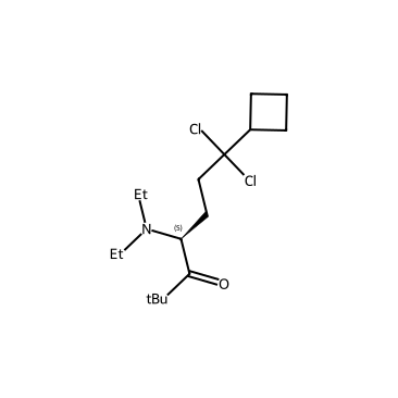 CCN(CC)[C@@H](CCC(Cl)(Cl)C1CCC1)C(=O)C(C)(C)C